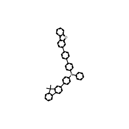 CC1(C)c2ccccc2-c2ccc(-c3ccc(N(c4ccccc4)c4ccc(-c5ccc(-c6ccc7c(c6)oc6ccccc67)cc5)cc4)cc3)cc21